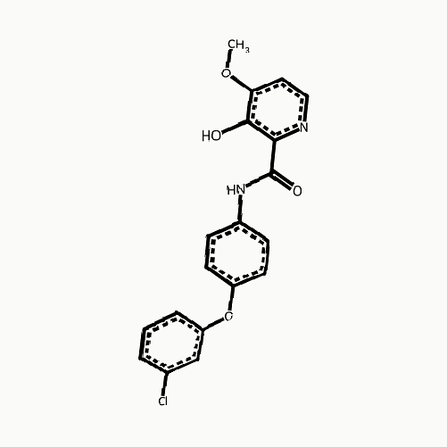 COc1ccnc(C(=O)Nc2ccc(Oc3cccc(Cl)c3)cc2)c1O